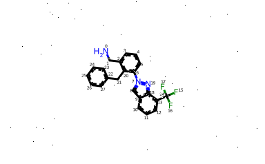 NCc1cccc(-n2cc3cccc(C(F)(F)F)c3n2)c1Cc1ccccc1